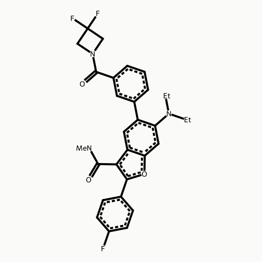 CCN(CC)c1cc2oc(-c3ccc(F)cc3)c(C(=O)NC)c2cc1-c1cccc(C(=O)N2CC(F)(F)C2)c1